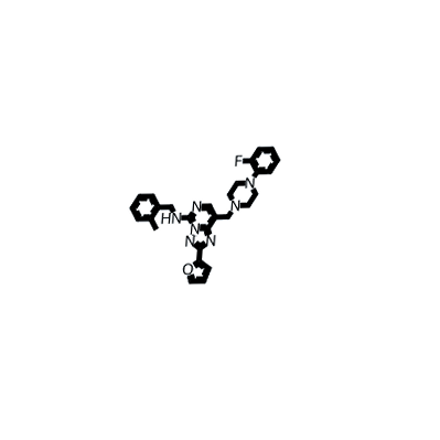 Cc1ccccc1CNc1ncc(CN2CCN(c3ccccc3F)CC2)c2nc(-c3ccco3)nn12